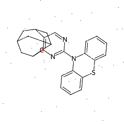 c1ccc2c(c1)Sc1ccccc1N2c1ncc2c(n1)C1CC3CC(CC2C3)C1